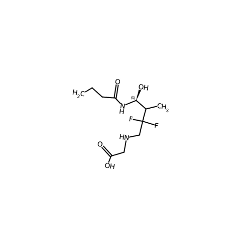 CCCC(=O)N[C@@H](O)C(C)C(F)(F)CNCC(=O)O